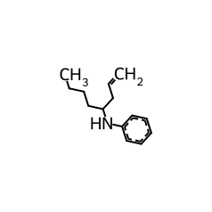 C=CCC(CCCC)Nc1ccccc1